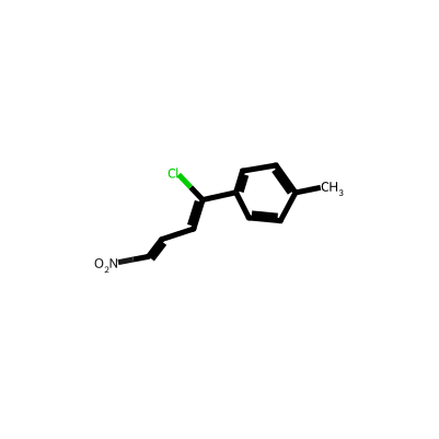 Cc1ccc(/C(Cl)=C/C=C/[N+](=O)[O-])cc1